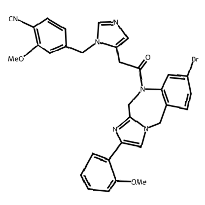 [C-]#[N+]c1ccc(Cn2cncc2CC(=O)N2Cc3nc(-c4ccccc4OC)cn3Cc3ccc(Br)cc32)cc1OC